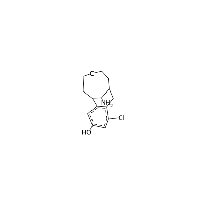 NC1C2CCCCCC1c1cc(O)cc(Cl)c1C2